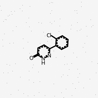 O=c1ccc(-c2ccccc2Cl)n[nH]1